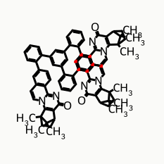 CC12CCC(c3c1n1ccc4cc(-c5ccccc5-c5cc(-c6ccccc6-c6ccc7c(ccn8c9c(c(=O)nc78)C7CCC9(C)C7(C)C)c6)cc(-c6ccccc6-c6ccc7c(ccn8c9c(c(=O)nc78)C7CCC9(C)C7(C)C)c6)c5)ccc4c1nc3=O)C2(C)C